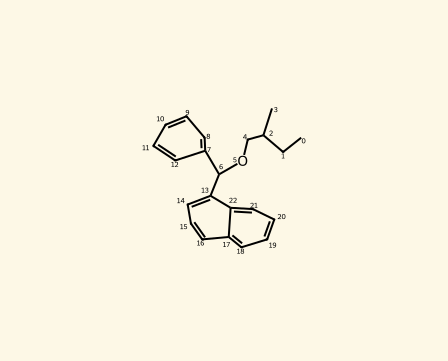 CCC(C)COC(c1ccccc1)c1cccc2ccccc12